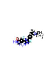 CC(C)N1C[C@@H]2C[C@]2(c2ccc(-c3nc(-c4cc5c(cc4F)C(=O)NCC5)c(N)nc3F)cc2)C1